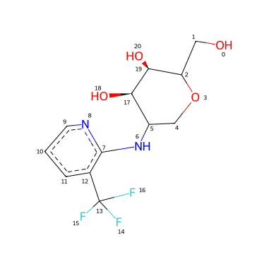 OCC1OCC(Nc2ncccc2C(F)(F)F)[C@@H](O)[C@H]1O